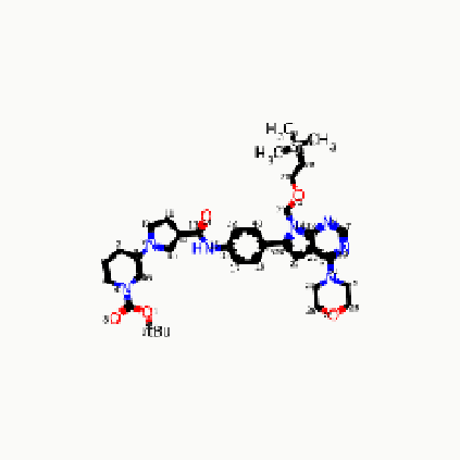 CC(C)(C)OC(=O)N1CCCC(N2CCC(C(=O)Nc3ccc(-c4cc5c(N6CCOCC6)ncnc5n4COCC[Si](C)(C)C)cc3)C2)C1